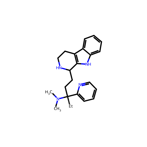 CCC(CCC1NCCc2c1[nH]c1ccccc21)(c1ccccn1)N(C)C